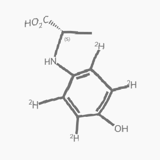 [2H]c1c([2H])c(N[C@@H](C)C(=O)O)c([2H])c([2H])c1O